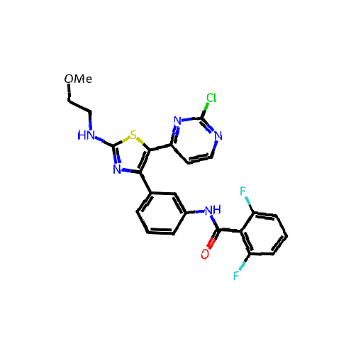 COCCNc1nc(-c2cccc(NC(=O)c3c(F)cccc3F)c2)c(-c2ccnc(Cl)n2)s1